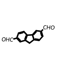 O=Cc1ccc2c(c1)Cc1ccc(C=O)cc1-2